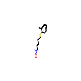 Cc1ccccc1SCCCCCN=O